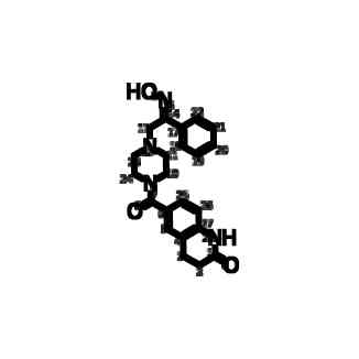 O=C1CCc2cc(C(=O)N3CCN(C/C(=N\O)c4ccccc4)CC3)ccc2N1